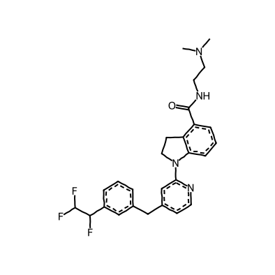 CN(C)CCNC(=O)c1cccc2c1CCN2c1cc(Cc2cccc(C(F)C(F)F)c2)ccn1